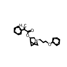 CC(C(=O)O[C@H]1C[N+]2(CCCOc3ccccc3)CC23CC13)c1ccccc1